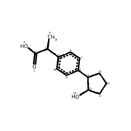 CC(C(=O)O)c1ccc(C2CCCC2O)cc1